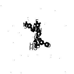 Cc1cc(-n2nc3c(c2-n2ccn(-c4ccc5c(C)nsc5c4)c2=O)[C@H](C)N(C(=O)c2cc4cc(C5CCOCC5)ccc4n2[C@@]2(C4=NOC(O)N4)C[C@@H]2C)CC3)cc(C)c1F